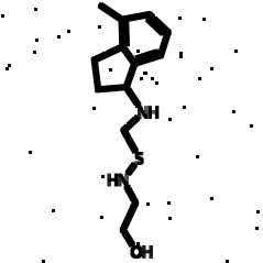 Cc1cccc2c1CCC2NCSNCCO